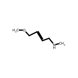 CNCC=CCOC